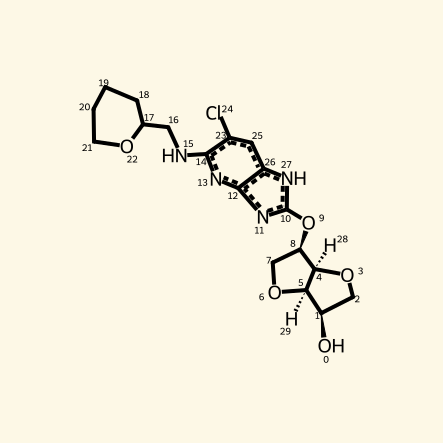 O[C@@H]1CO[C@H]2[C@@H]1OC[C@H]2Oc1nc2nc(NCC3CCCCO3)c(Cl)cc2[nH]1